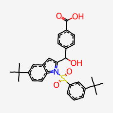 CC(C)(C)c1cccc(S(=O)(=O)n2c(C(O)c3ccc(C(=O)O)cc3)cc3cc(C(C)(C)C)ccc32)c1